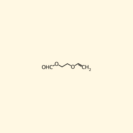 C=COCCOC=O